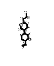 C=CC1CCC(C2CCC(CCC)OC2)CC1